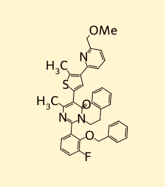 COCc1cccc(-c2cc(-c3c(C)nc(-c4cccc(F)c4OCc4ccccc4)n(CCc4ccccc4)c3=O)sc2C)n1